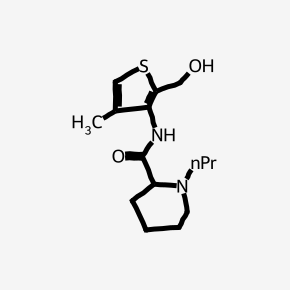 CCCN1CCCCC1C(=O)Nc1c(C)csc1CO